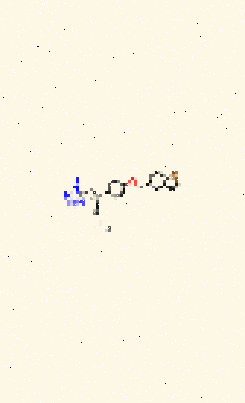 CC#C[C@@H](Cc1nnn[nH]1)c1ccc(OCc2ccc3sccc3c2)cc1